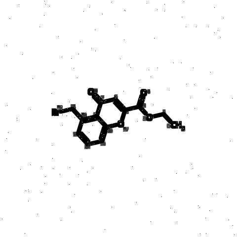 CCOC(=O)c1cc(=O)c2c(CBr)cccc2o1